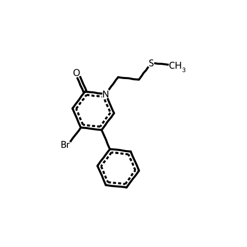 CSCCn1cc(-c2ccccc2)c(Br)cc1=O